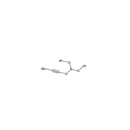 CC(C)OB(OC#CC(C)(C)C)OC(C)C